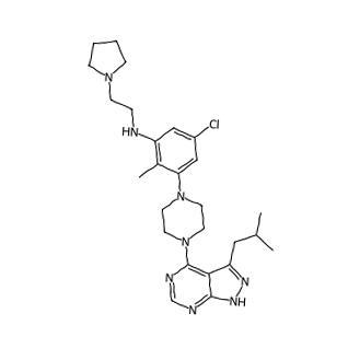 Cc1c(NCCN2CCCC2)cc(Cl)cc1N1CCN(c2ncnc3[nH]nc(CC(C)C)c23)CC1